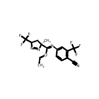 CCO/C(=N\c1ccc(C#N)c(C(F)(F)F)c1)[C@]1(C)CC(C(F)(F)F)N=N1